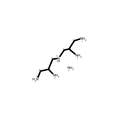 N.NCC(N)CNCC(N)CN